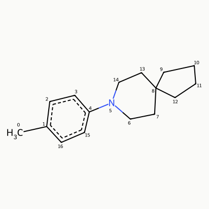 Cc1ccc(N2CCC3(CCCC3)CC2)cc1